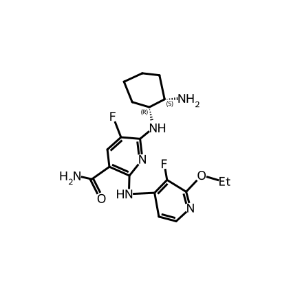 CCOc1nccc(Nc2nc(N[C@@H]3CCCC[C@@H]3N)c(F)cc2C(N)=O)c1F